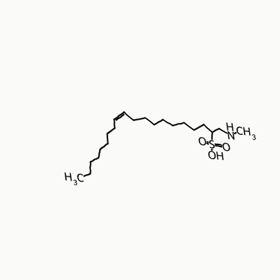 CCCCCCCC/C=C\CCCCCCCCC(CNC)S(=O)(=O)O